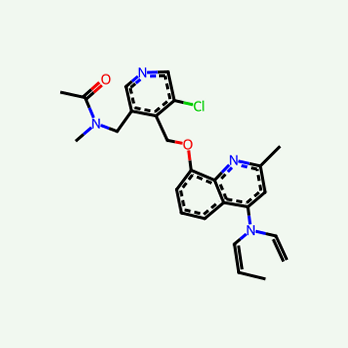 C=CN(/C=C\C)c1cc(C)nc2c(OCc3c(Cl)cncc3CN(C)C(C)=O)cccc12